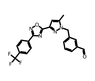 Cc1cc(-c2nc(-c3ccc(C(F)(F)F)cc3)no2)nn1Cc1cccc(C=O)c1